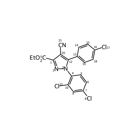 CCOC(=O)c1nn(-c2ccc(Cl)cc2Cl)c(-c2ccc(Cl)cc2)c1C#N